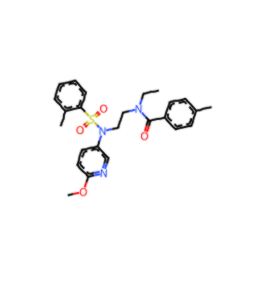 CCN(CCN(c1ccc(OC)nc1)S(=O)(=O)c1ccccc1C)C(=O)c1ccc(C)cc1